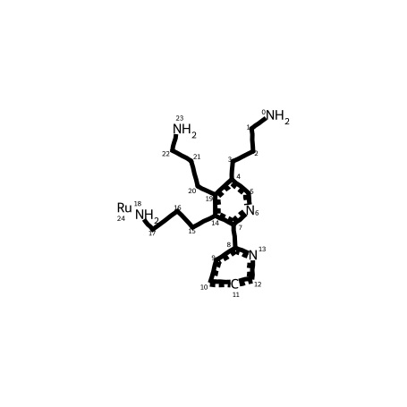 NCCCc1cnc(-c2ccccn2)c(CCCN)c1CCCN.[Ru]